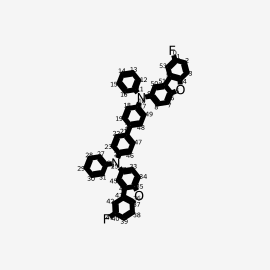 Fc1ccc2oc3ccc(N(c4ccccc4)c4ccc(-c5ccc(N(c6ccccc6)c6ccc7oc8ccc(F)cc8c7c6)cc5)cc4)cc3c2c1